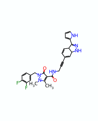 Cc1c(C(=O)NCC#CC2=CC3NN=C(c4ccc[nH]4)C3C=C2)c(=O)n(Cc2ccc(F)c(F)c2)n1C